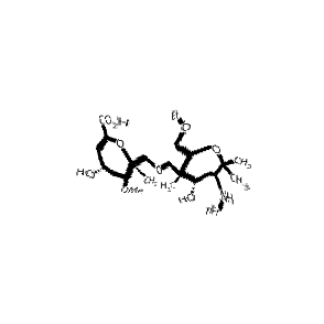 CCCNC1[C@H](O)[C@](C)(COC[C@@]2(C)OC(C(=O)O)=C[C@@H](O)C2OC)C(COCC)OC1(C)C